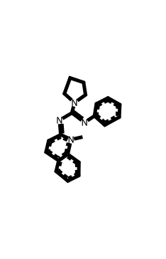 Cn1c(=NC(=Nc2ccccc2)N2CCCC2)ccc2ccccc21